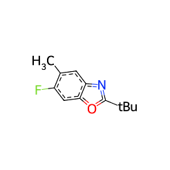 Cc1cc2nc(C(C)(C)C)oc2cc1F